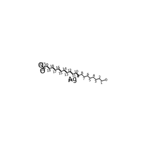 CCCCCCCCC/C=C/C=C/C=C/C=C/C=C/C=C/C(=O)[O-].[Ag+]